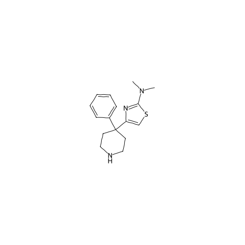 CN(C)c1nc(C2(c3ccccc3)CCNCC2)cs1